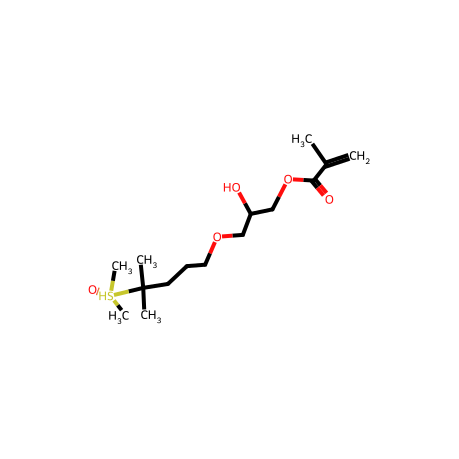 C=C(C)C(=O)OCC(O)COCCCC(C)(C)[SH](C)(C)=O